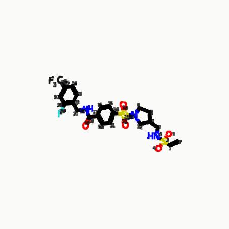 C=CS(=O)(=O)NCC1CCN(S(=O)(=O)c2ccc(C(=O)NCc3ccc(C(F)(F)F)cc3F)cc2)C1